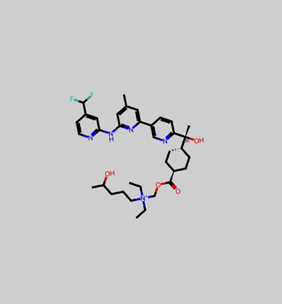 CC[N+](CC)(CCCC(C)O)COC(=O)[C@H]1CC[C@H]([C@@](C)(O)c2ccc(-c3cc(C)cc(Nc4cc(C(F)F)ccn4)n3)cn2)CC1